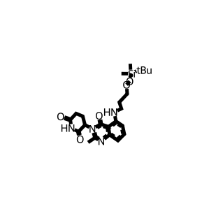 Cc1nc2cccc(NCCCOO[Si](C)(C)C(C)(C)C)c2c(=O)n1C1CCC(=O)NC1=O